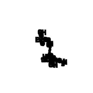 CC/C(=C(\c1ccc(O)cc1)c1ccc(OCCN(C)C(=O)CCCCCCC(=O)N[C@H](C(=O)N2C[C@H](O)C[C@H]2C(=O)NCc2ccc(-c3scnc3C)cc2)C(C)(C)C)cc1)c1ccccc1